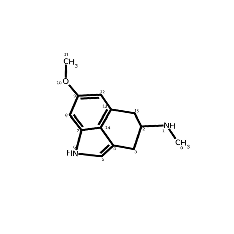 CNC1Cc2c[nH]c3cc(OC)cc(c23)C1